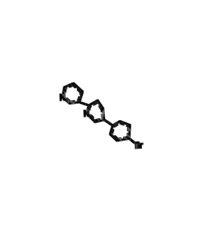 Brc1ccc(-c2ccc(-c3cccnc3)nc2)cc1